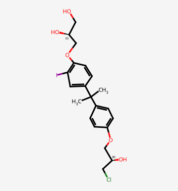 CC(C)(c1ccc(OC[C@@H](O)CCl)cc1)c1ccc(OC[C@@H](O)CO)c(I)c1